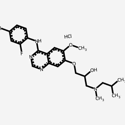 COc1cc2c(Nc3ccc(Cl)cc3F)ncnc2cc1OCC(O)CN(C)CC(C)C.Cl